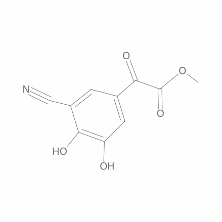 COC(=O)C(=O)c1cc(O)c(O)c(C#N)c1